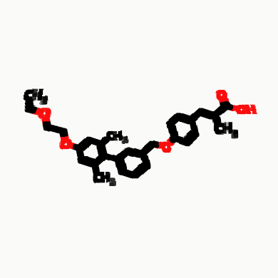 CCOCCOc1cc(C)c(-c2cccc(COc3ccc(/C=C(\C)C(=O)O)cc3)c2)c(C)c1